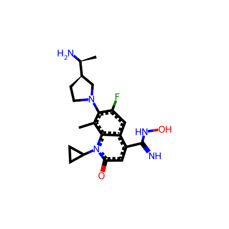 Cc1c(N2CC[C@@H]([C@H](C)N)C2)c(F)cc2c(C(=N)NO)cc(=O)n(C3CC3)c12